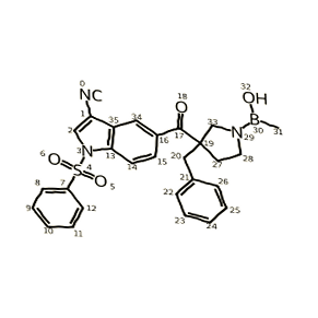 [C-]#[N+]c1cn(S(=O)(=O)c2ccccc2)c2ccc(C(=O)C3(Cc4ccccc4)CCN(B(C)O)C3)cc12